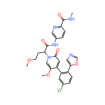 CNC(=O)c1ccc(NC(=O)C(CCOC)n2cc(OC)c(-c3cc(Cl)ccc3-c3cnco3)cc2=O)cn1